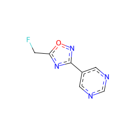 FCc1nc(-c2cncnc2)no1